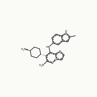 Cc1cc2cc(Nc3c4nccn4nc(N)c3[C@H]3CC[C@H](N)CC3)ccc2[nH]1